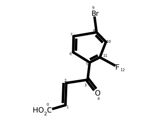 O=C(O)C=CC(=O)c1ccc(Br)cc1F